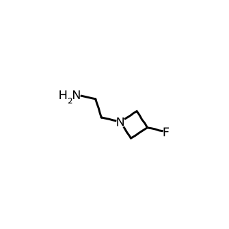 NCCN1CC(F)C1